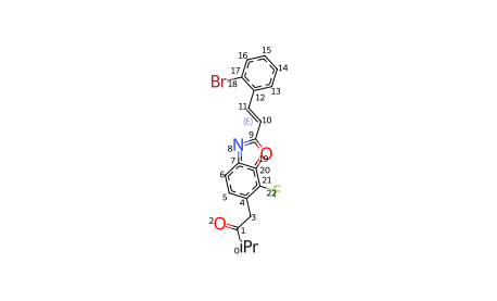 CC(C)C(=O)Cc1ccc2nc(/C=C/c3ccccc3Br)oc2c1F